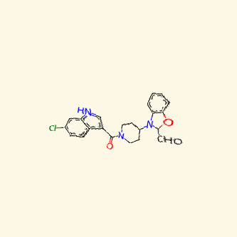 O=CC1Oc2ccccc2N1C1CCN(C(=O)c2c[nH]c3cc(Cl)ccc23)CC1